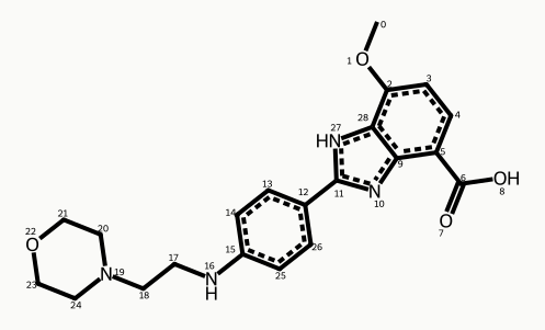 COc1ccc(C(=O)O)c2nc(-c3ccc(NCCN4CCOCC4)cc3)[nH]c12